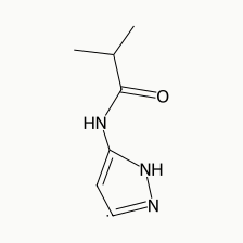 CC(C)C(=O)Nc1c[c]n[nH]1